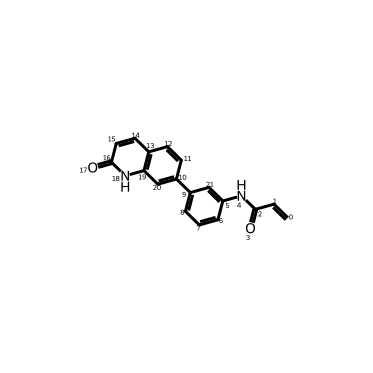 C=CC(=O)Nc1cccc(-c2ccc3ccc(=O)[nH]c3c2)c1